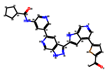 CC(=O)c1ccc(-c2cncc3[nH]c(-c4n[nH]c5cnc(-c6cncc(NC(=O)C7CCCC7)c6)cc45)cc23)s1